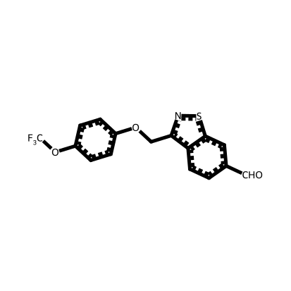 O=Cc1ccc2c(COc3ccc(OC(F)(F)F)cc3)nsc2c1